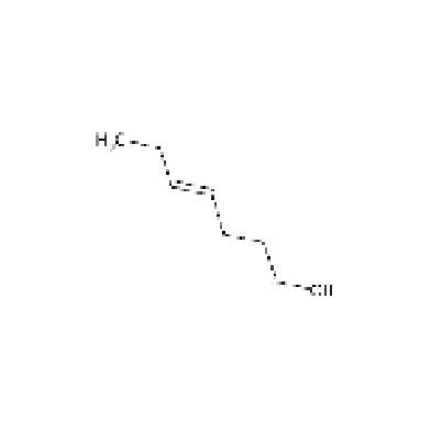 CCC=CCC[CH]O